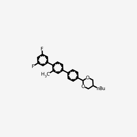 CCCCC1COC(c2ccc(-c3ccc(-c4cc(F)cc(F)c4)c(C)c3)cc2)OC1